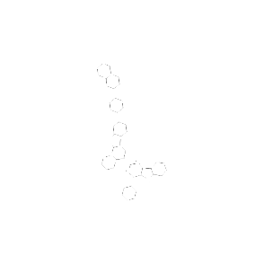 c1ccc(-c2nc(-c3cc4c5ccc(-c6ccc(-c7ccc8ccccc8c7)cc6)cc5oc4c4ccccc34)nc3c2sc2ccccc23)cc1